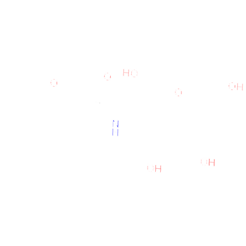 COCC(=O)NC1C(O)OC(CO)C(O)C1O